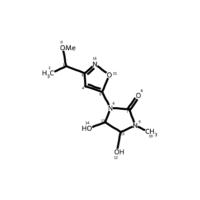 COC(C)c1cc(N2C(=O)N(C)C(O)C2O)on1